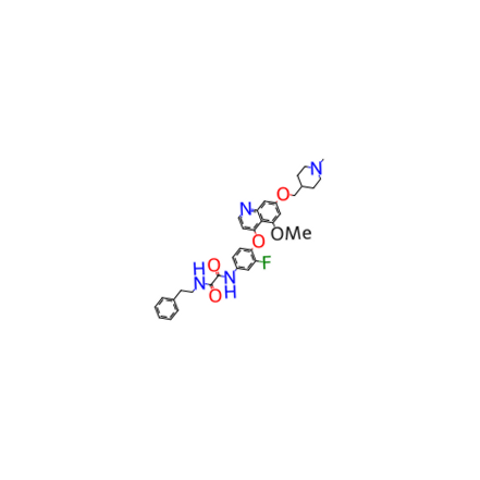 COc1cc(OCC2CCN(C)CC2)cc2nccc(Oc3ccc(NC(=O)C(=O)NCCc4ccccc4)cc3F)c12